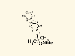 CNOC(C)(C)OCc1ccc(-c2ccccc2)cc1